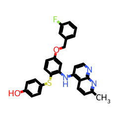 Cc1ccc2c(Nc3cc(OCc4cccc(F)c4)ccc3Sc3ccc(O)cc3)ccnc2n1